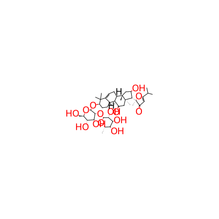 CC(C)C1=CC(=O)[C@@](C)([C@H]2[C@H](O)C[C@@]3(C)[C@@H]4CC=C5[C@@H](CC[C@@H](O[C@@H]6O[C@H](CO)[C@@H](O)[C@H](O)[C@H]6O[C@@H]6O[C@@H](C)[C@H](O)[C@@H](O)[C@H]6O)C5(C)C)[C@]4(C)C(=O)C[C@]23C)O1